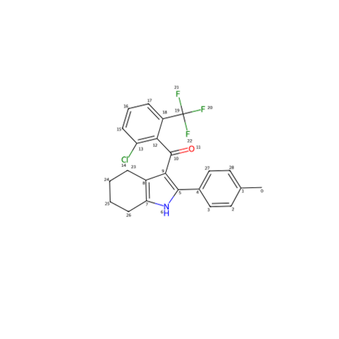 Cc1ccc(-c2[nH]c3c(c2C(=O)c2c(Cl)cccc2C(F)(F)F)CCCC3)cc1